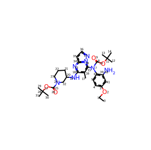 CCOc1ccc(N(C(=O)OC(C)(C)C)c2c(C)c(NC3CCCN(C(=O)OC(C)(C)C)C3)nc3ccnn23)c(N)c1